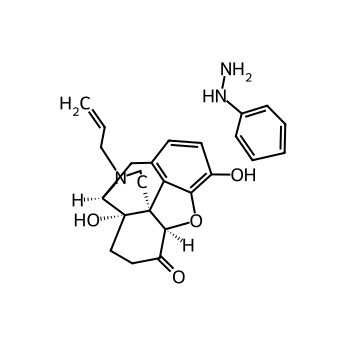 C=CCN1CC[C@]23c4c5ccc(O)c4O[C@H]2C(=O)CC[C@@]3(O)[C@H]1C5.NNc1ccccc1